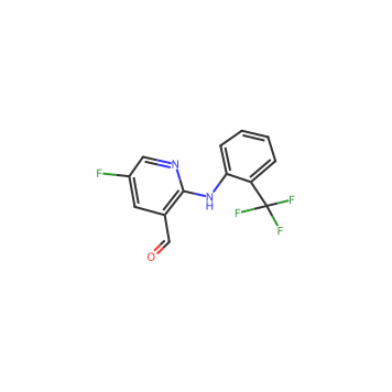 O=Cc1cc(F)cnc1Nc1ccccc1C(F)(F)F